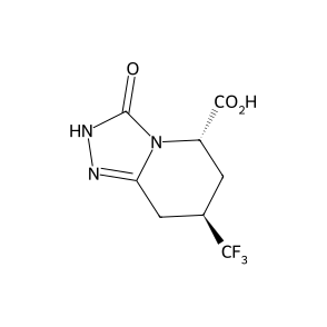 O=C(O)[C@@H]1C[C@@H](C(F)(F)F)Cc2n[nH]c(=O)n21